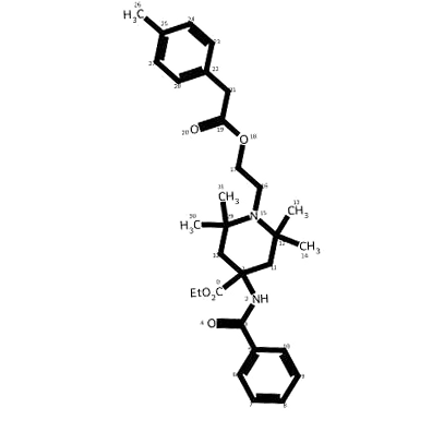 CCOC(=O)C1(NC(=O)c2ccccc2)CC(C)(C)N(CCOC(=O)Cc2ccc(C)cc2)C(C)(C)C1